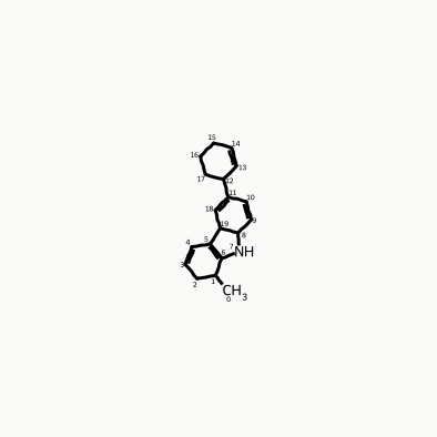 CC1CC=CC2=C1NC1C=CC(C3C=CCCC3)=CC21